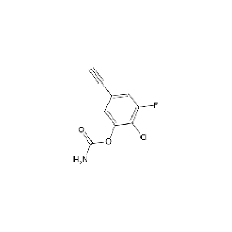 C#Cc1cc(F)c(Cl)c(OC(N)=O)c1